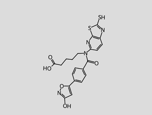 O=C(O)CCCCN(C(=O)c1ccc(-c2cc(O)no2)cc1)c1ccc2nc(S)sc2n1